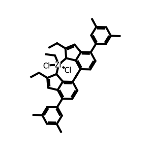 CCC1=Cc2c(-c3cc(C)cc(C)c3)ccc(C)c2[CH]1[Zr]([Cl])([Cl])([CH2]C)[CH]1C(CC)=Cc2c(-c3cc(C)cc(C)c3)ccc(C)c21